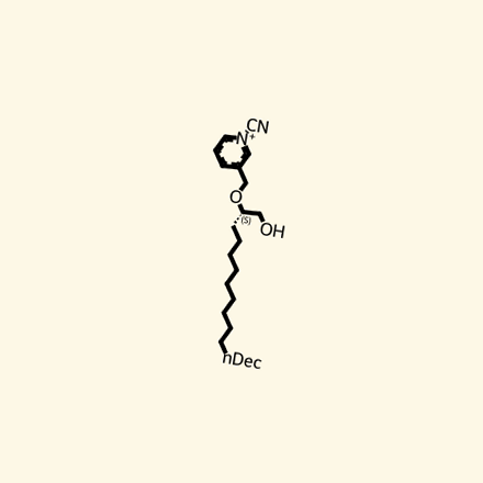 CCCCCCCCCCCCCCCCCCC[C@@H](CO)OCc1ccc[n+](C#N)c1